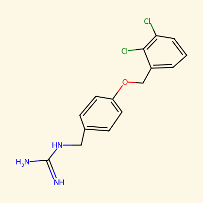 N=C(N)NCc1ccc(OCc2cccc(Cl)c2Cl)cc1